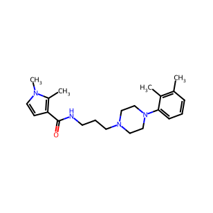 Cc1cccc(N2CCN(CCCNC(=O)c3ccn(C)c3C)CC2)c1C